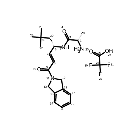 C[C@H](N)C(=O)N[C@H](/C=C/C(=O)N1Cc2ccccc2C1)CC(C)(C)C.O=C(O)C(F)(F)F